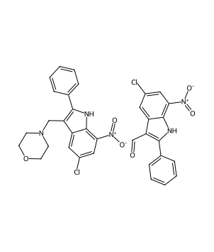 O=Cc1c(-c2ccccc2)[nH]c2c([N+](=O)[O-])cc(Cl)cc12.O=[N+]([O-])c1cc(Cl)cc2c(CN3CCOCC3)c(-c3ccccc3)[nH]c12